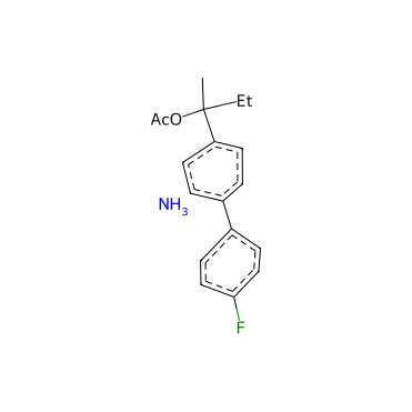 CCC(C)(OC(C)=O)c1ccc(-c2ccc(F)cc2)cc1.N